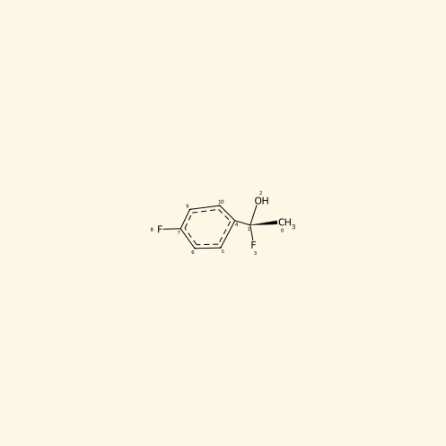 C[C@@](O)(F)c1ccc(F)cc1